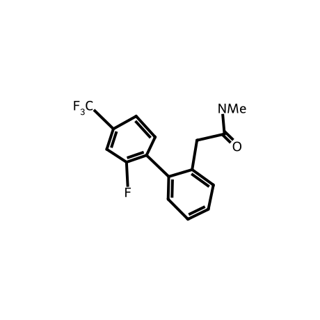 CNC(=O)Cc1ccccc1-c1ccc(C(F)(F)F)cc1F